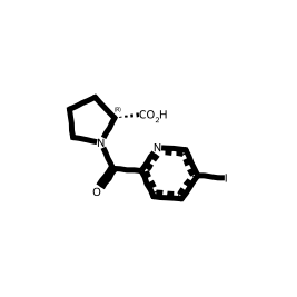 O=C(O)[C@H]1CCCN1C(=O)c1ccc(I)cn1